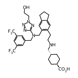 O=C(O)[C@H]1CC[C@H](CNCCc2cc3c(cc2CN(Cc2cc(C(F)(F)F)cc(C(F)(F)F)c2)c2nnn(CCO)n2)CCC3)CC1